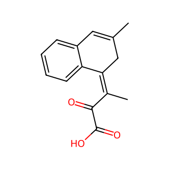 CC1=Cc2ccccc2C(=C(C)C(=O)C(=O)O)C1